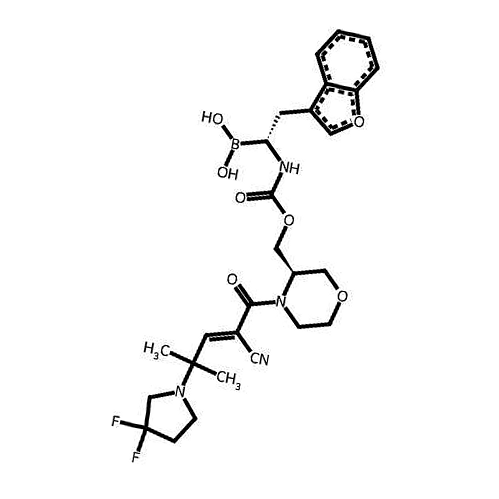 CC(C)(/C=C(\C#N)C(=O)N1CCOC[C@@H]1COC(=O)N[C@@H](Cc1coc2ccccc12)B(O)O)N1CCC(F)(F)C1